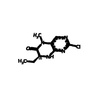 CC[C@@H]1Nc2nc(Cl)ncc2N(C)C1=O